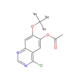 [2H]C([2H])([2H])Oc1cc2ncnc(Cl)c2cc1OC(C)=O